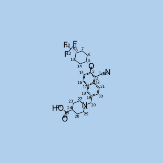 N#Cc1c(O[C@H]2CC[C@@H](C(F)(F)F)CC2)ccc2cc(CN3CCC(C(=O)O)CC3)ccc12